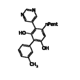 CCCCCc1cc(O)c(-c2cccc(C)c2)c(O)c1-c1cncnc1